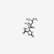 CC(C)C[C@H](N)C(=O)NC1CC(=O)CN1C(=O)O